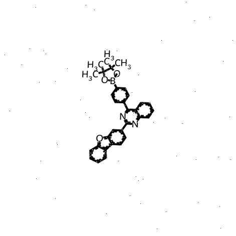 CC1(C)OB(c2ccc(-c3nc(-c4ccc5c(c4)oc4ccccc45)nc4ccccc34)cc2)OC1(C)C